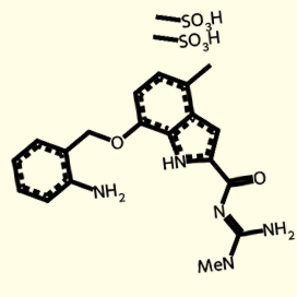 CNC(N)=NC(=O)c1cc2c(C)ccc(OCc3ccccc3N)c2[nH]1.CS(=O)(=O)O.CS(=O)(=O)O